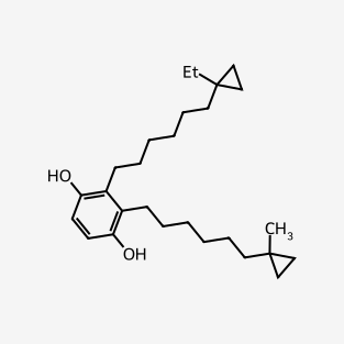 CCC1(CCCCCCc2c(O)ccc(O)c2CCCCCCC2(C)CC2)CC1